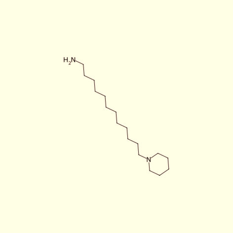 NCCCCCCCCCCCCN1CCCCC1